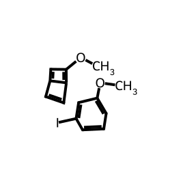 COc1cc2ccc1-2.COc1cccc(I)c1